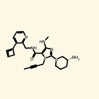 CC#CCn1c(N2CCC[C@@H](N)C2)nc(NC)c1C(=O)NCc1ncccc1C1=C=CC1